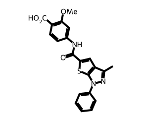 COc1cc(NC(=O)c2cc3c(C)nn(-c4ccccc4)c3s2)ccc1C(=O)O